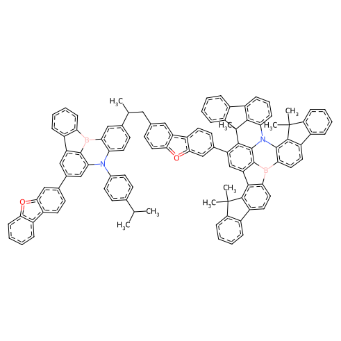 CC(C)c1ccc(N2c3ccc(C(C)Cc4ccc5oc6cc(-c7cc8c9c%10c7C7(C)c%11ccccc%11-c%11cccc(c%117)N%10c7c(ccc%10c7C(C)(C)c7ccccc7-%10)B9c7ccc9c(c7-8)C(C)(C)c7ccccc7-9)ccc6c5c4)cc3B3c4ccccc4-c4cc(-c5ccc6c(c5)oc5ccccc56)cc2c43)cc1